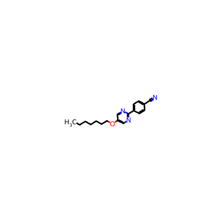 CCCCCCCOc1cnc(-c2ccc(C#N)cc2)nc1